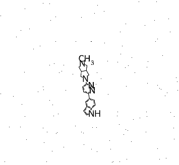 CN1CC2CN(c3ccc(-c4ccc5[nH]ccc5c4)nn3)CC2C1